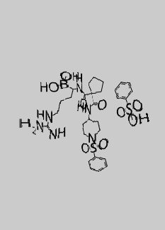 N=C(N)NCCCC(NC(=O)C1(C(=O)NC2CCN(S(=O)(=O)c3ccccc3)CC2)CCCC1)B(O)O.O=S(=O)(O)c1ccccc1